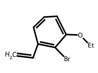 C=[C]c1cccc(OCC)c1Br